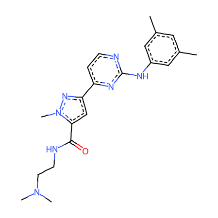 Cc1cc(C)cc(Nc2nccc(-c3cc(C(=O)NCCN(C)C)n(C)n3)n2)c1